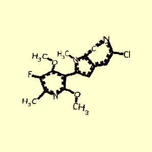 COc1nc(C)c(F)c(OC)c1-c1cc2cc(Cl)ncc2n1C